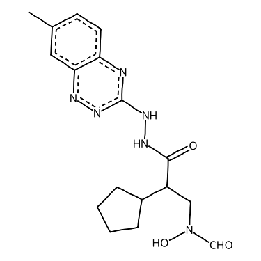 Cc1ccc2nc(NNC(=O)C(CN(O)C=O)C3CCCC3)nnc2c1